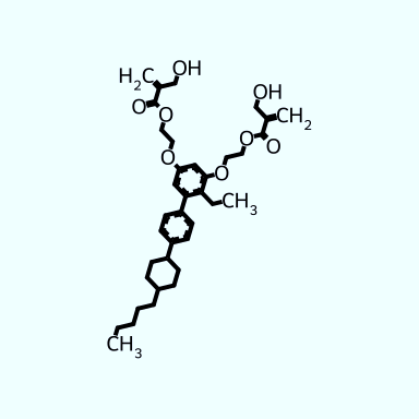 C=C(CO)C(=O)OCCOc1cc(OCCOC(=O)C(=C)CO)c(CC)c(-c2ccc(C3CCC(CCCCC)CC3)cc2)c1